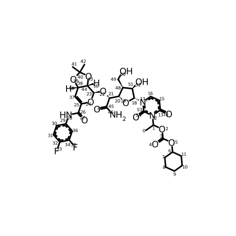 CC(OC(=O)OC1CCCCC1)n1c(=O)ccn([C@@H]2O[C@H]([C@@H](O[C@H]3OC(C(=O)Nc4ccc(F)c(F)c4)=C[C@@H]4OC(C)(C)O[C@H]34)C(N)=O)[C@@H](CO)[C@H]2O)c1=O